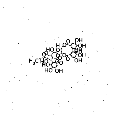 CCOC(=O)C1(O)C(=O)C2=C3C(=O)OC(C2O)C(C2OC(=O)c4cc(O)c(O)c(O)c4-c4c(cc(O)c(O)c4O)C(=O)OCC2O)OC(=O)c2cc(O)c(O)c(O)c2C31